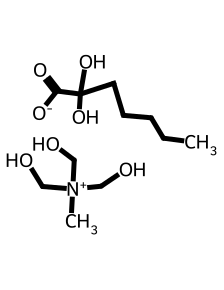 CCCCCC(O)(O)C(=O)[O-].C[N+](CO)(CO)CO